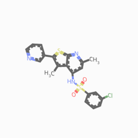 Cc1cc(NS(=O)(=O)c2cccc(Cl)c2)c2c(C)c(-c3cccnc3)sc2n1